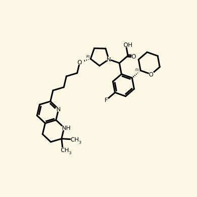 CC1(C)CCc2ccc(CCCCO[C@@H]3CCN(C(C(=O)O)c4cc(F)ccc4[C@@H]4CCCCO4)C3)nc2N1